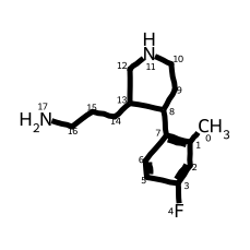 Cc1cc(F)ccc1C1CCNCC1CCCN